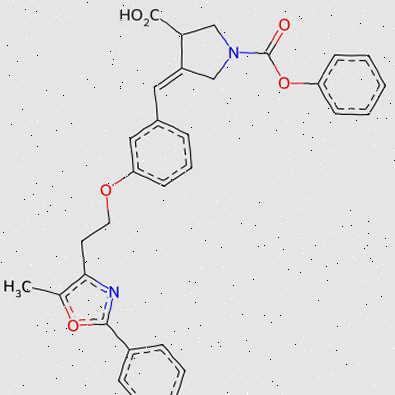 Cc1oc(-c2ccccc2)nc1CCOc1cccc(/C=C2\CN(C(=O)Oc3ccccc3)CC2C(=O)O)c1